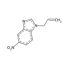 C=CCn1cnc2cc([N+](=O)[O-])ccc21